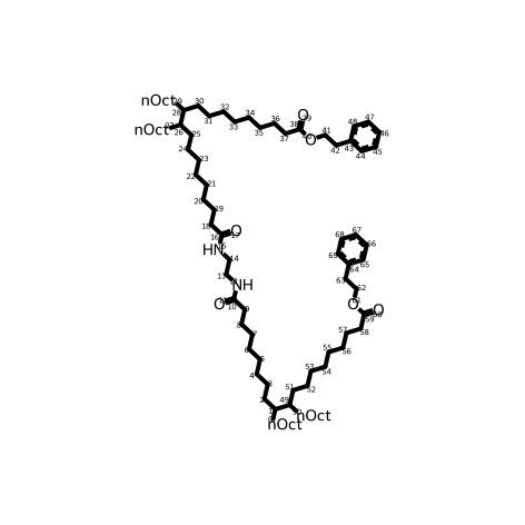 CCCCCCCCC(CCCCCCCCC(=O)NCCNC(=O)CCCCCCCCC(CCCCCCCC)C(CCCCCCCC)CCCCCCCCC(=O)OCCc1ccccc1)C(CCCCCCCC)CCCCCCCCC(=O)OCCc1ccccc1